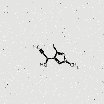 C#CC(O)c1cn(C)nc1I